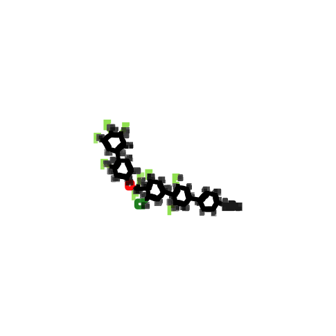 CCCCc1ccc(-c2cc(F)c(-c3cc(F)c(C(F)(F)Oc4ccc(-c5cc(F)c(F)c(F)c5)c(F)c4)c(Cl)c3)c(F)c2)cc1